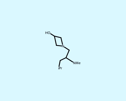 CNC(CC(C)C)CN1CC(O)C1